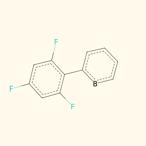 Fc1cc(F)c(-c2bcccc2)c(F)c1